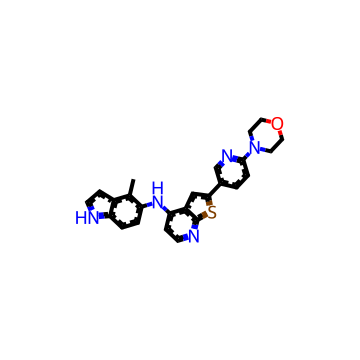 Cc1c(Nc2ccnc3sc(-c4ccc(N5CCOCC5)nc4)cc23)ccc2[nH]ccc12